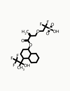 C=C(COCC(F)(F)S(=O)(=O)O)C(=O)OC1CCC(C(C)(O)C(F)(F)F)C2CCCCC12